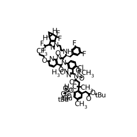 Cc1cc(CC(=O)OC(C)(C)C)c(C(C)(C)CC(=O)N(c2nn(C)c3c(-n4c([C@H](Cc5cc(F)cc(F)c5)NC(=O)Cn5nc(C(F)F)c6c5C(F)(F)[C@@H]5C[C@H]65)nc5nc(OCCC(F)(F)F)ccc5c4=O)ccc(Cl)c23)S(C)(=O)=O)c(OP(=O)(OC(C)(C)C)OC(C)(C)C)c1